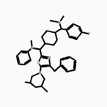 CC1CC(C)CN(c2oc(C(C3CCC(C(c4ccc(F)cc4)N(C)C)CC3)N(C)c3ccccc3)nc2Cc2ccccc2)C1